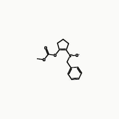 COC(=O)OC1=C([S+]([O-])Cc2ccccc2)CCC1